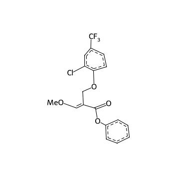 CO/C=C(\COc1ccc(C(F)(F)F)cc1Cl)C(=O)Oc1ccccc1